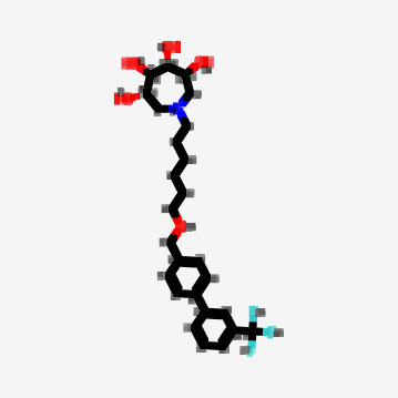 O[C@H]1[C@H](O)[C@@H](O)CN(CCCCCCOCc2ccc(-c3cccc(C(F)(F)F)c3)cc2)C[C@@H]1O